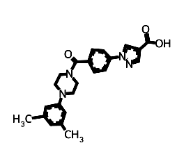 Cc1cc(C)cc(N2CCN(C(=O)c3ccc(-n4cc(C(=O)O)cn4)cc3)CC2)c1